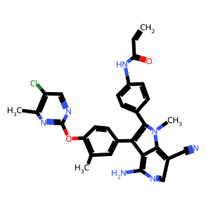 C=CC(=O)Nc1ccc(-c2c(-c3ccc(Oc4ncc(Cl)c(C)n4)c(C)c3)c3c(N)ncc(C#N)c3n2C)cc1